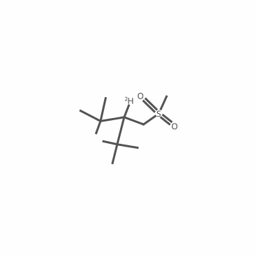 [2H]C(CS(C)(=O)=O)(C(C)(C)C)C(C)(C)C